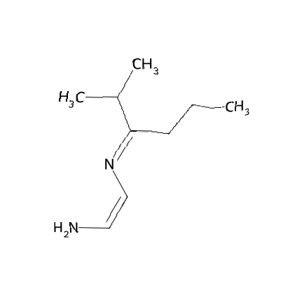 CCC/C(=N\C=C/N)C(C)C